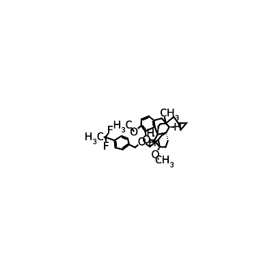 COc1ccc2c3c1O[C@H]1[C@@]4(OC)CC[C@@]5(C[C@@H]4COCc4ccc(C(C)(F)F)cc4)[C@@H](C2)C(C)(CC2CC2)CC[C@]315